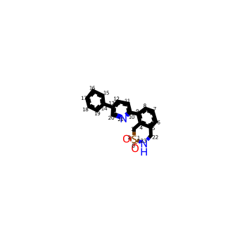 O=S1(=O)Cc2c(cccc2-c2ccc(-c3ccccc3)cn2)CN1